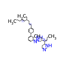 C=CC(/C=C/CCC)C/C=C/C1=CCC(C2=CC=C/C(=N/N(N)CC/C(=C\CC)C3CC=NCN3)C2C)C=C1